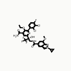 CCOc1c(C(N)=O)cc([C@@](O)(CNC(=O)c2cc(OC)c3nn(C4CC4)cc3c2)C(F)(F)F)nc1-c1ccc(F)c(Cl)c1Cl